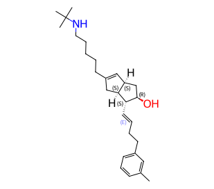 Cc1cccc(CC/C=C/[C@@H]2[C@H]3CC(CCCCCNC(C)(C)C)=C[C@H]3C[C@H]2O)c1